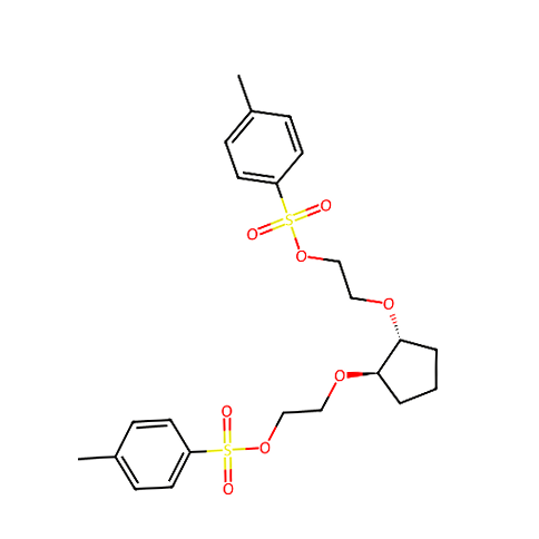 Cc1ccc(S(=O)(=O)OCCO[C@@H]2CCC[C@H]2OCCOS(=O)(=O)c2ccc(C)cc2)cc1